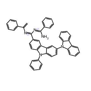 C=C(/N=C(\N=C(/N)c1ccccc1)c1ccc2c(c1)c1cc(-n3c4ccccc4c4ccccc43)ccc1n2-c1ccccc1)c1ccccc1